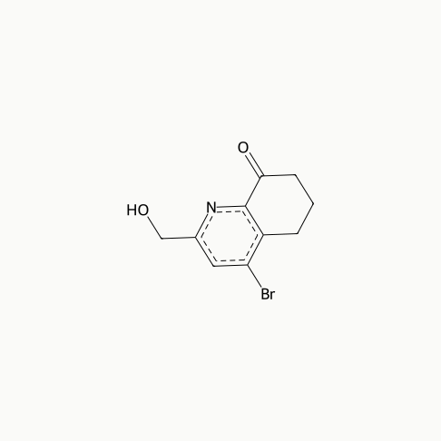 O=C1CCCc2c(Br)cc(CO)nc21